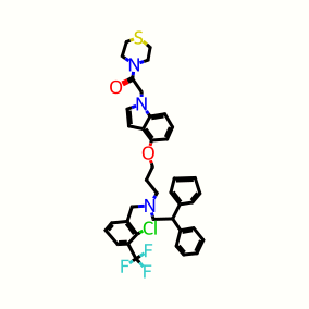 O=C(Cn1ccc2c(OCCCN(Cc3cccc(C(F)(F)F)c3Cl)CC(c3ccccc3)c3ccccc3)cccc21)N1CCSCC1